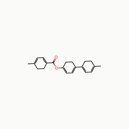 CC1=CC=C(C(=O)OC2=CC=C(C3=CC=C(C)CC3)CC2)CC1